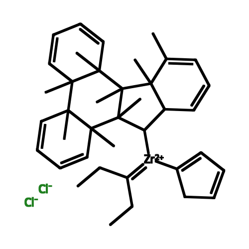 CC[C](CC)=[Zr+2]([C]1=CC=CC1)[CH]1C2C=CC=C(C)C2(C)C2(C)C3(C)C=CC=CC3(C)C3(C)C=CC=CC3(C)C12C.[Cl-].[Cl-]